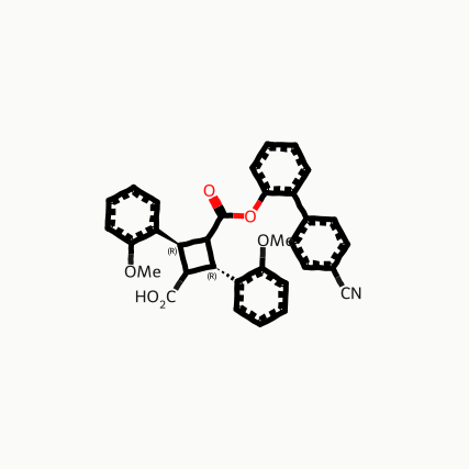 COc1ccccc1[C@@H]1C(C(=O)O)[C@@H](c2ccccc2OC)C1C(=O)Oc1ccccc1-c1ccc(C#N)cc1